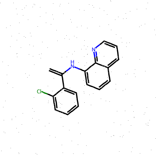 C=C(Nc1cccc2cccnc12)c1ccccc1Cl